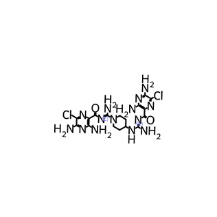 N/C(=N\C(=O)c1nc(Cl)c(N)nc1N)NC1CCN(/C(N)=N/C(=O)c2nc(Cl)c(N)nc2N)CC1